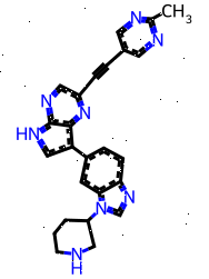 Cc1ncc(C#Cc2cnc3[nH]cc(-c4ccc5ncn(C6CCCNC6)c5c4)c3n2)cn1